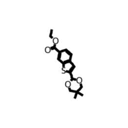 CCOC(=O)c1ccc2cc(C3OCC(C)(C)CO3)sc2c1